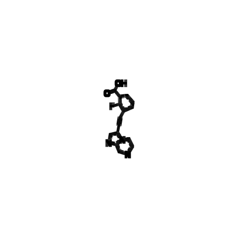 O=C(O)c1cccc(C#Cc2cnc3cnccn23)c1F